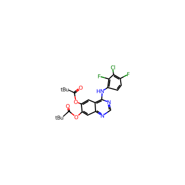 CC(C)(C)C(=O)Oc1cc2ncnc(Nc3ccc(F)c(Cl)c3F)c2cc1OC(=O)C(C)(C)C